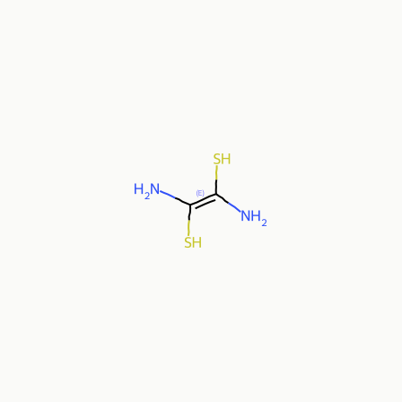 N/C(S)=C(/N)S